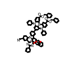 N#Cc1ccc(-n2c3ccc(-c4ccccc4)cc3c3cc(-c4cc5c6c(c4)N(c4ccccc4)c4ccc(C(=O)OCc7ccccc7)cc4B6c4cc(C(=O)OCc6ccccc6)ccc4N5c4ccccc4)ccc32)c(-c2nc(-c3ccccc3)nc(-c3ccccc3)n2)c1